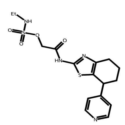 CCNS(=O)(=O)OCC(=O)Nc1nc2c(s1)C(c1ccncc1)CCC2